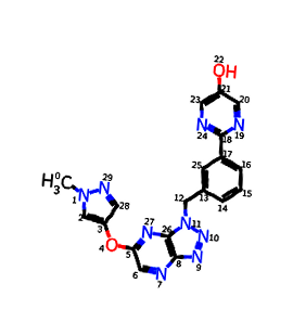 Cn1cc(Oc2cnc3nnn(Cc4cccc(-c5ncc(O)cn5)c4)c3n2)cn1